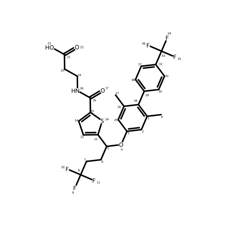 Cc1cc(OC(CCC(F)(F)F)c2ccc(C(=O)NCCC(=O)O)s2)cc(C)c1-c1ccc(C(F)(F)F)cc1